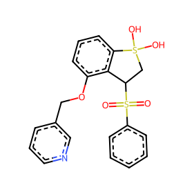 O=S(=O)(c1ccccc1)C1CS(O)(O)c2cccc(OCc3cccnc3)c21